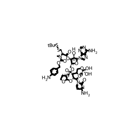 CN(C(=O)OCc1ccc(N)cc1)[C@@H](CSSC(C)(C)C)C(=O)O[C@H]1[C@@H](O)[C@H](n2cnc3c(N)ncnc32)O[C@@H]1COP(=O)(O)[C@@H]1C(COP(=O)(O)O)O[C@@H](n2ccc(N)nc2=O)[C@@H]1OC1CCCO1